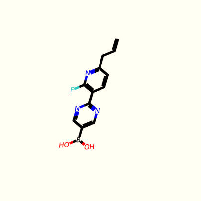 C=CCc1ccc(-c2ncc(B(O)O)cn2)c(F)n1